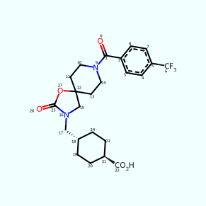 O=C(c1ccc(C(F)(F)F)cc1)N1CCC2(CC1)CN(C[C@H]1CC[C@H](C(=O)O)CC1)C(=O)O2